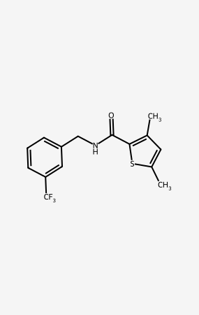 Cc1cc(C)c(C(=O)NCc2cccc(C(F)(F)F)c2)s1